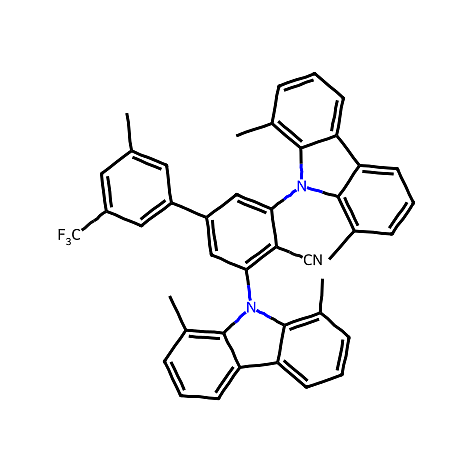 Cc1cc(-c2cc(-n3c4c(C)cccc4c4cccc(C)c43)c(C#N)c(-n3c4c(C)cccc4c4cccc(C)c43)c2)cc(C(F)(F)F)c1